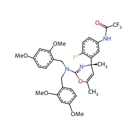 COc1ccc(CN(Cc2ccc(OC)cc2OC)C2=N[C@](C)(c3cc(NC(=O)C(F)(F)F)ccc3F)C=C(C)O2)c(OC)c1